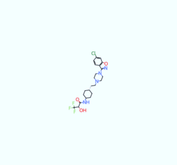 O=C(N[C@H]1CC[C@H](CCN2CCN(c3noc4cc(Cl)ccc34)CC2)CC1)C(O)C(F)(F)F